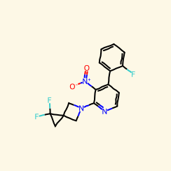 O=[N+]([O-])c1c(-c2ccccc2F)ccnc1N1CC2(C1)CC2(F)F